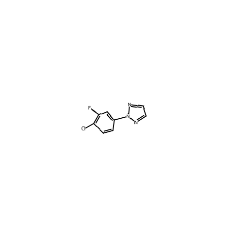 Fc1cc(-n2n[c]cn2)ccc1Cl